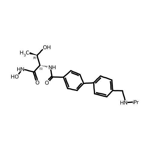 CC(C)NCc1ccc(-c2ccc(C(=O)N[C@H](C(=O)NO)[C@@H](C)O)cc2)cc1